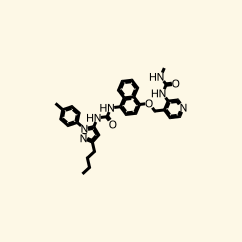 CCCCc1cc(NC(=O)Nc2ccc(OCc3ccncc3NC(=O)NC)c3ccccc23)n(-c2ccc(C)cc2)n1